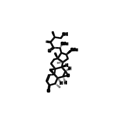 C=C(C(=O)[C@H](OC(C)=O)C1[C@@H](OC(C)=O)C[C@@]2(C)[C@@H]3[C@H]4O[C@H]4[C@H]4[C@H](C)C(=O)C=C[C@@]45C[C@@]35CC[C@]12C)[C@@H](C)CO